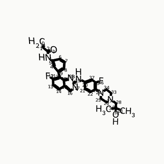 C=CC(=O)Nc1cccc(-c2c(F)ccc3cnc(Nc4ccc(N5CCN(CC(C)(C)O)CC5)c(F)c4)nc23)c1